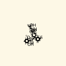 COc1cccc(O)c1C(=O)NCC1(c2cccc(F)c2)CCN(S(=O)(=O)NCC(C)O)CC1